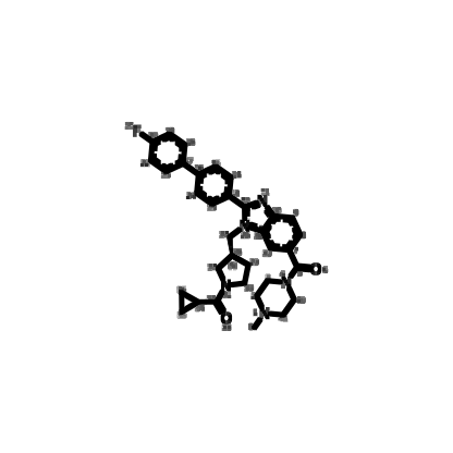 CN1CCN(C(=O)c2ccc3nc(-c4ccc(-c5ccc(F)cc5)cc4)n(C[C@H]4CCN(C(=O)C5CC5)C4)c3c2)CC1